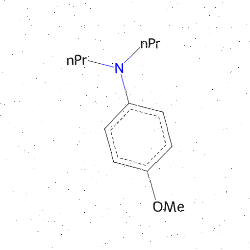 CCCN(CCC)c1ccc(OC)cc1